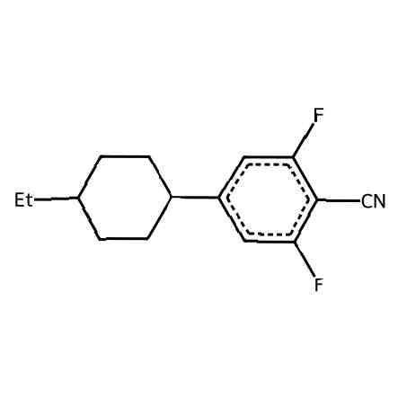 CCC1CCC(c2cc(F)c(C#N)c(F)c2)CC1